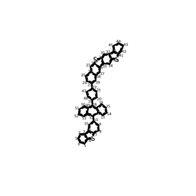 c1ccc2c(c1)sc1ccc(-c3c4ccccc4c(-c4ccc(-c5ccc6cc7sc8cc9c(cc8c7cc6c5)sc5ccccc59)cc4)c4ccccc34)cc12